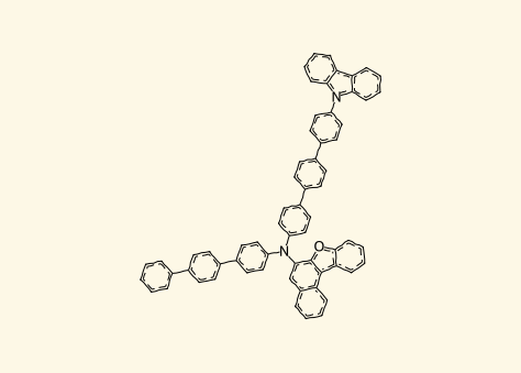 c1ccc(-c2ccc(-c3ccc(N(c4ccc(-c5ccc(-c6ccc(-n7c8ccccc8c8ccccc87)cc6)cc5)cc4)c4cc5ccccc5c5c4oc4ccccc45)cc3)cc2)cc1